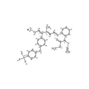 C#CCN(C(=O)OC)c1ccccc1/C=N/N=C(C)/C(=N/OC)c1ccc(Oc2ccc(C(F)(F)F)cc2)cc1